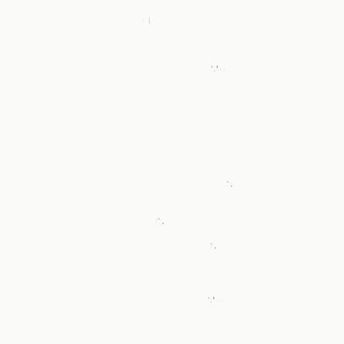 COc1cc(Nc2c(C#N)cnc3c2ccc2c(OCCCl)c(OC)ccc23)c(Cl)cc1F